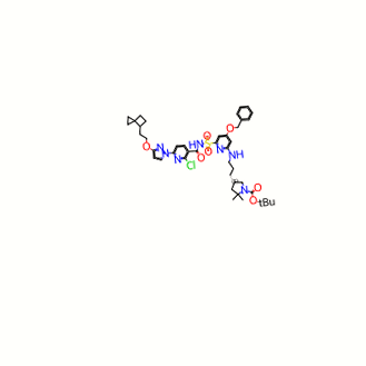 CC(C)(C)OC(=O)N1C[C@@H](CCCNc2cc(OCc3ccccc3)cc(S(=O)(=O)NC(=O)c3ccc(-n4ccc(OCCC5CCC56CC6)n4)nc3Cl)n2)CC1(C)C